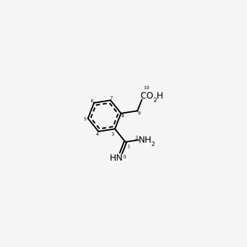 N=C(N)c1ccccc1CC(=O)O